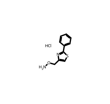 Cl.NOCc1csc(-c2ccccc2)n1